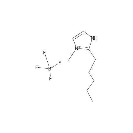 CCCCCc1[nH]cc[n+]1C.F[B-](F)(F)F